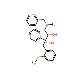 CCN(Cc1ccccc1)CC(O)[C@@](O)(Cc1ccccc1SC(F)(F)F)c1ccccc1